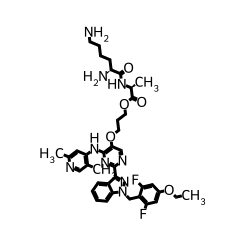 CCOc1cc(F)c(Cn2nc(-c3ncc(OCCCOC(=O)[C@H](C)NC(=O)[C@H](N)CCCCN)c(Nc4cc(C)ncc4C)n3)c3ccccc32)c(F)c1